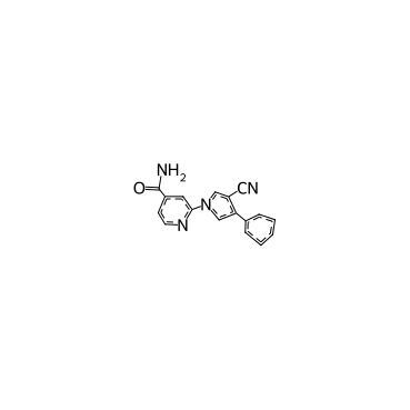 N#Cc1cn(-c2cc(C(N)=O)ccn2)cc1-c1ccccc1